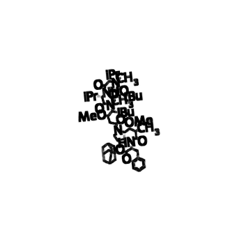 CC[C@H](C)[C@@H]([C@@H](CC(=O)N1CCC[C@H]1[C@H](OC)[C@@H](C)C(=O)N[C@@H](Cc1ccccc1)C(=O)OC12CC3CC(CC(C3)C1)C2)OC)N(C)C(=O)[C@@H](NC(=O)[C@H](C(C)C)N(C)C(=O)OC(C)(C)C)C(C)C